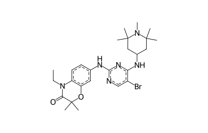 CCN1C(=O)C(C)(C)Oc2cc(Nc3ncc(Br)c(NC4CC(C)(C)N(C)C(C)(C)C4)n3)ccc21